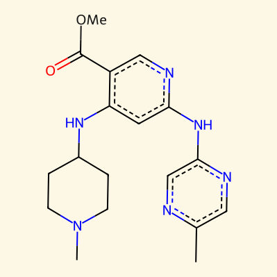 COC(=O)c1cnc(Nc2cnc(C)cn2)cc1NC1CCN(C)CC1